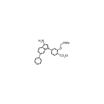 CCOC(=O)c1ccc(-n2cc(N)c3ccc(-c4ccccc4)cc32)cc1OCOC